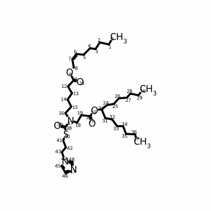 CCCCCC/C=C\COC(=O)CCCCCN(CCC(=O)OC(CCCCCCC)CCCCCCC)C(=O)SCCCn1ccnc1